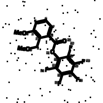 COCc1c(OC)cccc1C(=O)Oc1c(F)c(F)c(F)c(F)c1F